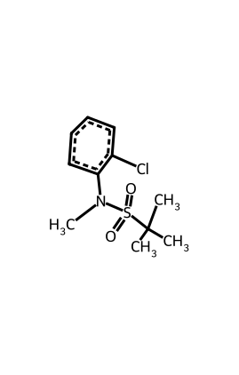 CN(c1ccccc1Cl)S(=O)(=O)C(C)(C)C